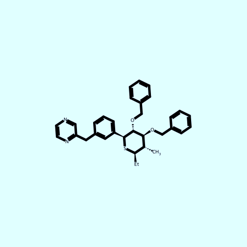 CC[C@H]1S[C@@H](c2cccc(Cc3cnccn3)c2)[C@H](OCc2ccccc2)[C@@H](OCc2ccccc2)[C@@H]1C